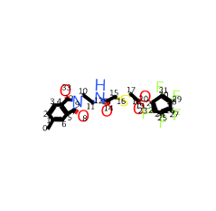 Cc1ccc2c(c1)C(=O)N(CCNC(=O)CSCC(=O)Oc1c(F)c(F)c(F)c(F)c1F)C2=O